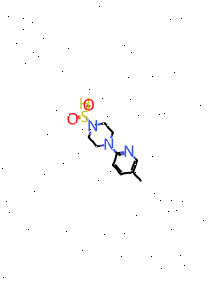 Cc1ccc(N2CCN([SH](=O)=O)CC2)nc1